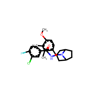 COc1ccc(CN2C3CCC2CC(NC(=O)c2ccc(F)c(Cl)c2)C3)c(C)c1C